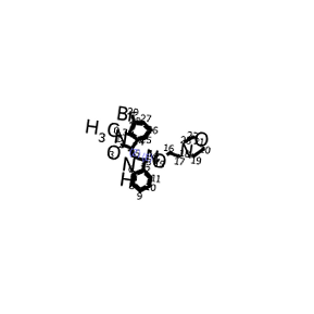 CN1C(=O)/C(=C2\Nc3ccccc3\C2=N/OCCN2CCOCC2)c2cccc(Br)c21